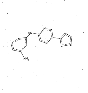 Nc1cccc(Nc2cnc(-c3ccsc3)cn2)c1